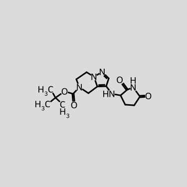 CC(C)(C)OC(=O)N1CCn2ncc(NC3CCC(=O)NC3=O)c2C1